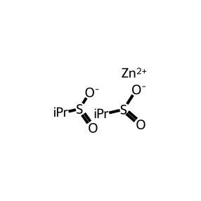 CC(C)S(=O)[O-].CC(C)S(=O)[O-].[Zn+2]